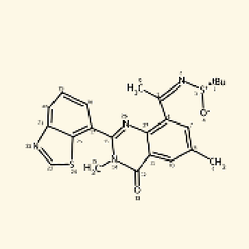 C/C(=N/[S@+]([O-])C(C)(C)C)c1cc(C)cc2c(=O)n(C)c(-c3cccc4ncsc34)nc12